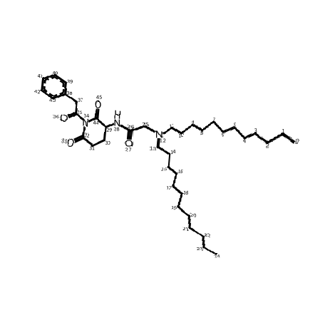 CCCCCCCCCCCCN(CCCCCCCCCCCC)CC(=O)NC1CCC(=O)N(C(=O)Cc2ccccc2)C1=O